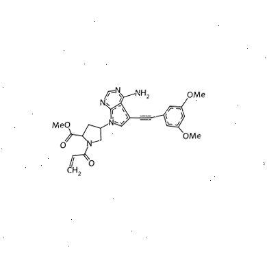 C=CC(=O)N1CC(n2cc(C#Cc3cc(OC)cc(OC)c3)c3c(N)ncnc32)CC1C(=O)OC